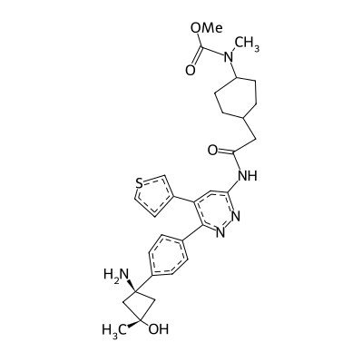 COC(=O)N(C)C1CCC(CC(=O)Nc2cc(-c3ccsc3)c(-c3ccc([C@]4(N)C[C@](C)(O)C4)cc3)nn2)CC1